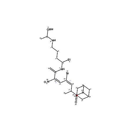 C=C(NC(CC)CCCNC(C)OC)/C(=C\C(Br)=C/C(C)C(=O)N1C2COCC1C2)[N+](=O)[O-]